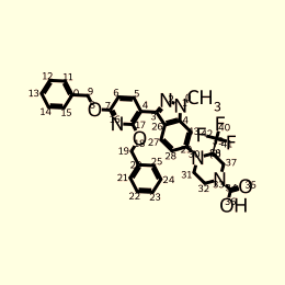 Cn1nc(-c2ccc(OCc3ccccc3)nc2OCc2ccccc2)c2ccc(N3CCN(C(=O)O)C[C@@H]3C(F)(F)F)cc21